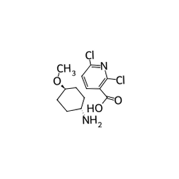 CO[C@H]1CC[C@H](N)CC1.O=C(O)c1ccc(Cl)nc1Cl